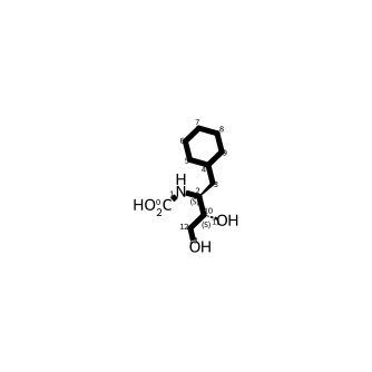 O=C(O)N[C@@H](CC1CCCCC1)[C@H](O)CO